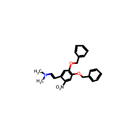 CN(C)C=Cc1cc(OCc2ccccc2)c(OCc2ccccc2)cc1[N+](=O)[O-]